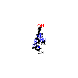 CC(C)(O)CCc1cn(-c2cnc(-n3ncc4cc(C#N)cnc43)cc2NC2(C)CC2)nn1